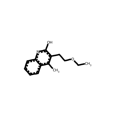 CCOCCc1c(O)nc2ccccc2c1C